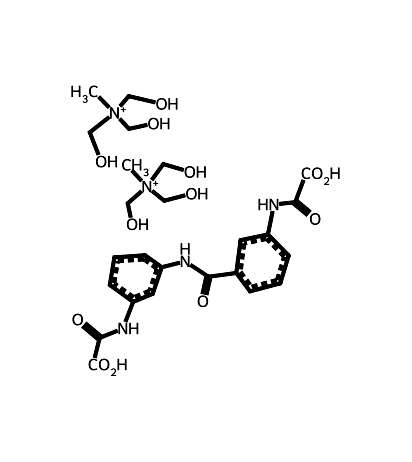 C[N+](CO)(CO)CO.C[N+](CO)(CO)CO.O=C(O)C(=O)Nc1cccc(NC(=O)c2cccc(NC(=O)C(=O)O)c2)c1